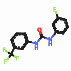 O=C(Nc1cccc(F)c1)Nc1cccc(C(F)(F)F)c1